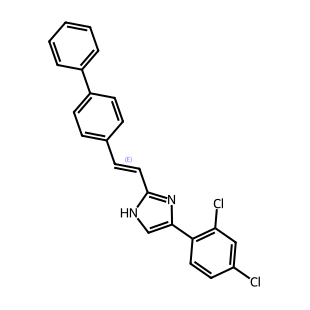 Clc1ccc(-c2c[nH]c(/C=C/c3ccc(-c4ccccc4)cc3)n2)c(Cl)c1